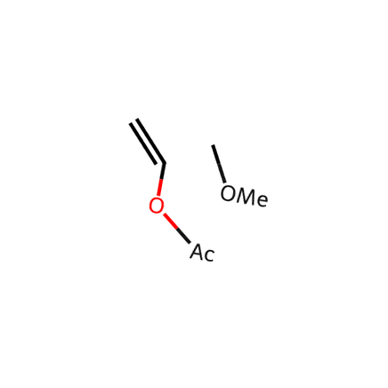 C=COC(C)=O.COC